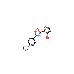 FC(F)(F)c1ccc(-c2noc(-c3occc3Br)n2)cc1